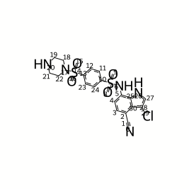 N#Cc1ccc(NS(=O)(=O)c2ccc(S(=O)(=O)N3CCNCC3)cc2)c2[nH]cc(Cl)c12